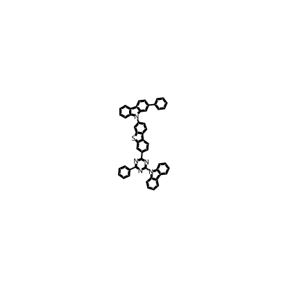 c1ccc(-c2ccc3c4ccccc4n(-c4ccc5c(c4)sc4cc(-c6nc(-c7ccccc7)nc(-n7c8ccccc8c8ccccc87)n6)ccc45)c3c2)cc1